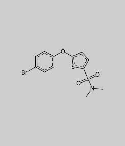 CN(C)S(=O)(=O)c1ccc(Oc2ccc(Br)cc2)s1